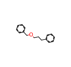 c1ccc(CCCOCc2ccccc2)cc1